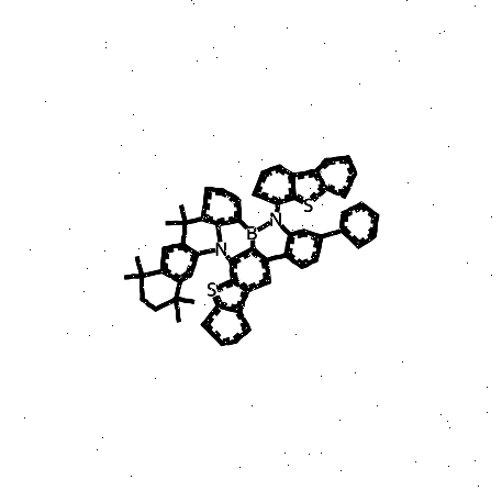 CC1(C)CCC(C)(C)c2cc3c(cc21)N1c2c(cccc2C3(C)C)B2c3c(cc4c(sc5ccccc54)c31)-c1ccc(-c3ccccc3)cc1N2c1cccc2c1sc1ccccc12